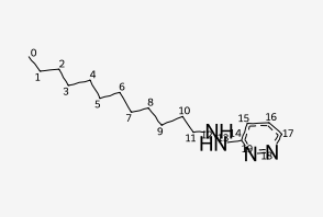 CCCCCCCCCCCCNNc1cccnn1